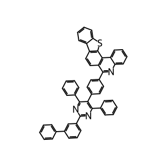 c1ccc(-c2cccc(-c3nc(-c4ccccc4)c(-c4ccc(-c5nc6ccccc6c6c5ccc5c7ccccc7sc56)cc4)c(-c4ccccc4)n3)c2)cc1